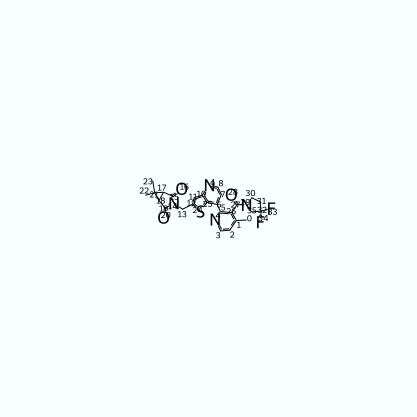 Cc1ccnc(-c2ccnc3cc(CN4C(=O)C5C(C4=O)C5(C)C)sc23)c1C(=O)N1CCC(F)(F)C1